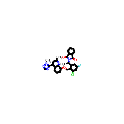 Cc1cc(-c2ncnn2C)c2cccc(OCc3c(Cl)cc(F)cc3C(C)N3C(=O)c4ccccc4C3=O)c2n1